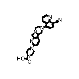 N#Cc1ccc(N2CCN3Cc4nc(N5CCN(C(=O)O)CC5)ccc4C3C2)c2cccnc12